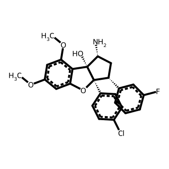 COc1cc(OC)c2c(c1)O[C@]1(c3ccc(Cl)cc3)[C@@H](c3cccc(F)c3)C[C@@H](N)[C@]21O